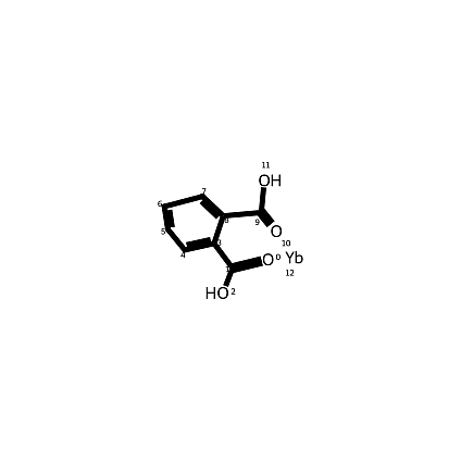 O=C(O)c1ccccc1C(=O)O.[Yb]